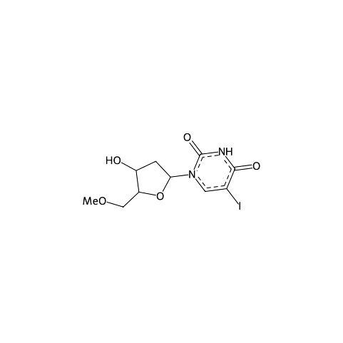 COCC1OC(n2cc(I)c(=O)[nH]c2=O)CC1O